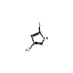 CC(=O)c1c[nH]c(S)c1